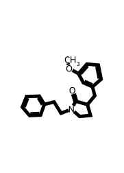 COc1cccc(CC2CCN(CCc3ccccc3)C2=O)c1